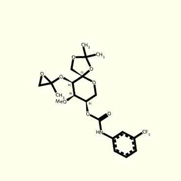 CO[C@H]1[C@@H](OC2(C)CO2)[C@@]2(COC(C)(C)O2)OC[C@H]1OC(=O)Nc1cccc(C(F)(F)F)c1